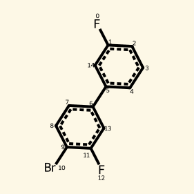 Fc1cccc(-c2ccc(Br)c(F)c2)c1